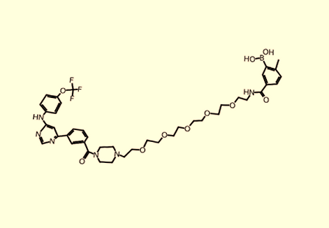 Cc1ccc(C(=O)NCCOCCOCCOCCOCCOCCN2CCN(C(=O)c3cccc(-c4cc(Nc5ccc(OC(F)(F)F)cc5)ncn4)c3)CC2)cc1B(O)O